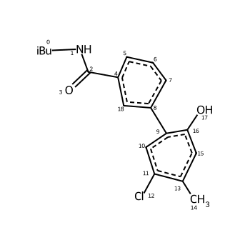 CCC(C)NC(=O)c1cccc(-c2cc(Cl)c(C)cc2O)c1